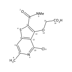 CNC(=O)c1sc2cc(C)nc(Cl)c2c1OCC(=O)O